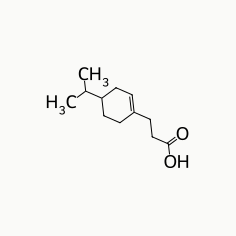 CC(C)C1CC=C(CCC(=O)O)CC1